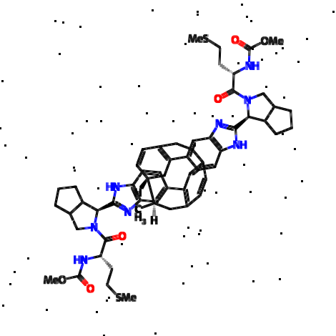 COC(=O)N[C@@H](CCSC)C(=O)N1CC2CCCC2[C@H]1c1nc2cc(C3=C4C=C[C@H](C3)[C@H](C)Cc3ccc(cc3-c3ccc5[nH]c([C@@H]6C7CCCC7CN6C(=O)[C@H](CCSC)NC(=O)OC)nc5c3)CC4)ccc2[nH]1